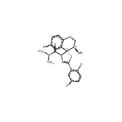 CCC[C@@H]1COc2ccc(F)cc2[C@@]12SC(c1cc(F)ccc1F)=NN2C(=O)N(C)C